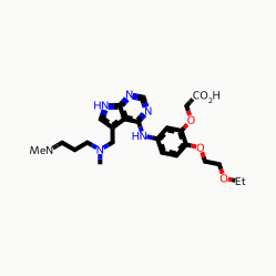 CCOCCOc1ccc(Nc2ncnc3[nH]cc(CN(C)CCCNC)c23)cc1OCC(=O)O